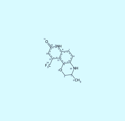 CC1COc2c(ccc3[nH]c(=O)cc(C(F)(F)F)c23)N1